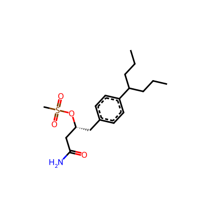 CCCC(CCC)c1ccc(C[C@H](CC(N)=O)OS(C)(=O)=O)cc1